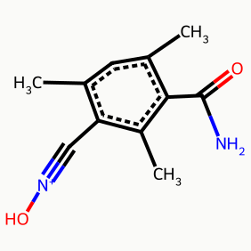 Cc1cc(C)c(C(N)=O)c(C)c1C#[N+]O